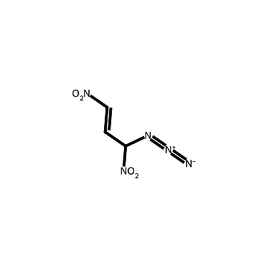 [N-]=[N+]=NC(C=C[N+](=O)[O-])[N+](=O)[O-]